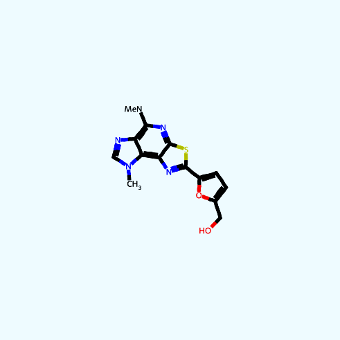 CNc1nc2sc(-c3ccc(CO)o3)nc2c2c1ncn2C